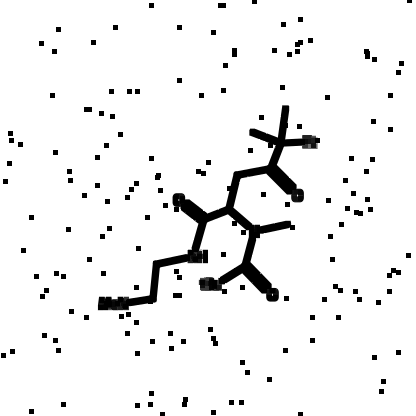 CCC(C)(C)C(=O)CC(C(=O)NCCNC)N(C)C(=O)C(C)(C)C